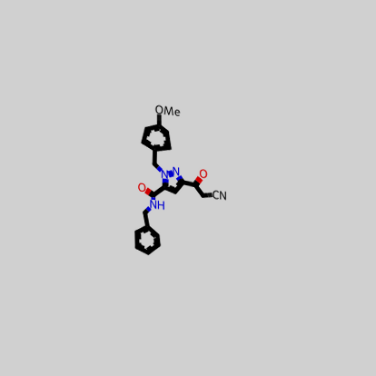 COc1ccc(Cn2nc(C(=O)CC#N)cc2C(=O)NCc2ccccc2)cc1